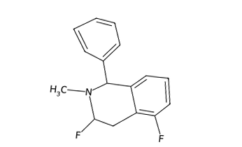 CN1C(F)Cc2c(F)cccc2C1c1ccccc1